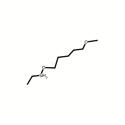 CC[SiH2]OCCCCCOC